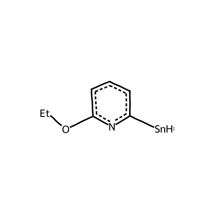 CCOc1ccc[c]([SnH])n1